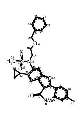 CNC(=O)c1c(-c2ccc(F)cc2)oc2cc(N(CCOCc3ccccc3)S(C)(=O)=O)c(C3CC3)cc12